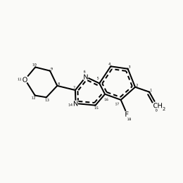 C=Cc1ccc2nc(C3CCOCC3)ncc2c1F